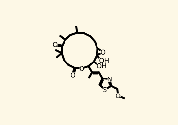 COCc1nc(C=C(C)C2OC(=O)CCC(C)(C)C(=O)C(C)CC(C)CCCC3OC3(O)C2O)cs1